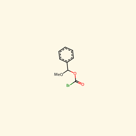 COC(OC(=O)Br)c1ccccc1